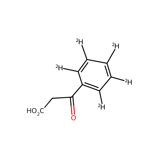 [2H]c1c([2H])c([2H])c(C(=O)CC(=O)O)c([2H])c1[2H]